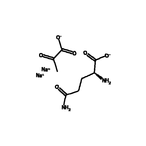 CC(=O)C(=O)[O-].NC(=O)CC[C@H](N)C(=O)[O-].[Na+].[Na+]